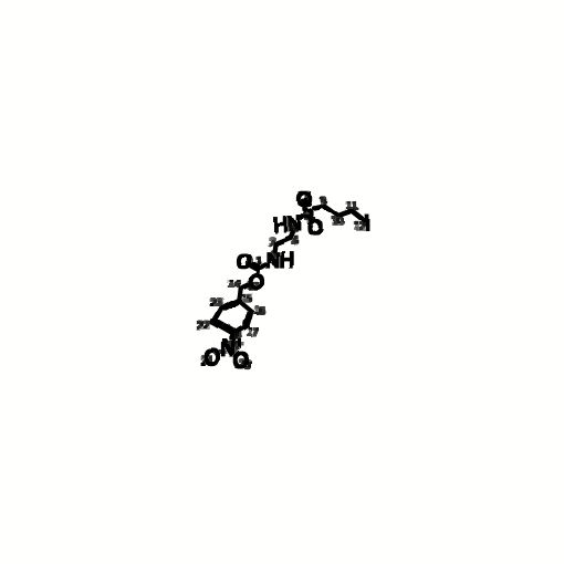 O=C(NCCNS(=O)(=O)CCCI)OCc1ccc([N+](=O)[O-])cc1